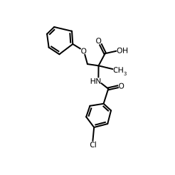 CC(COc1ccccc1)(NC(=O)c1ccc(Cl)cc1)C(=O)O